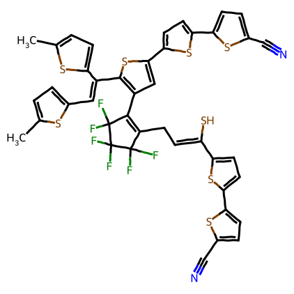 Cc1ccc(/C=C(\c2ccc(C)s2)c2sc(-c3ccc(-c4ccc(C#N)s4)s3)cc2C2=C(C/C=C(\S)c3ccc(-c4ccc(C#N)s4)s3)C(F)(F)C(F)(F)C2(F)F)s1